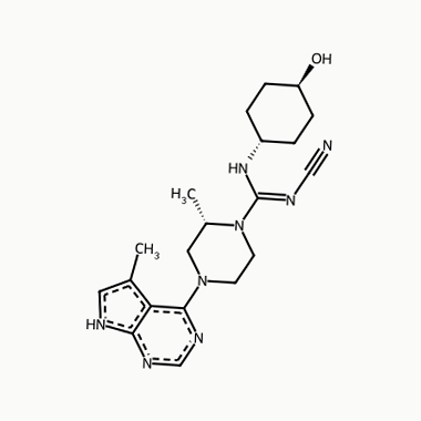 Cc1c[nH]c2ncnc(N3CCN(/C(=N/C#N)N[C@H]4CC[C@H](O)CC4)[C@@H](C)C3)c12